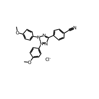 COc1ccc(-n2nc(-c3ccc(C#N)cc3)n[n+]2-c2ccc(OC)cc2)cc1.[Cl-]